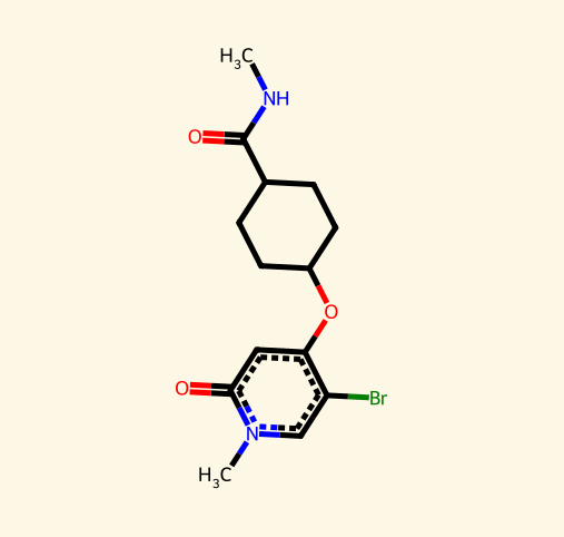 CNC(=O)C1CCC(Oc2cc(=O)n(C)cc2Br)CC1